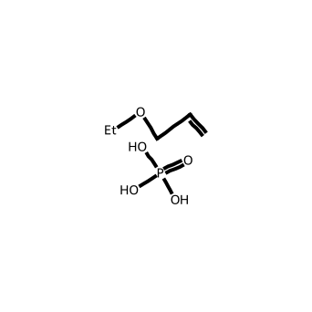 C=CCOCC.O=P(O)(O)O